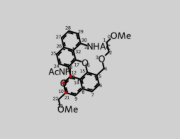 COCCOCc1ccc2cccc(NC(C)=O)c2c1Oc1c(COCCOC)ccc2cccc(NC(C)=O)c12